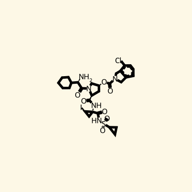 N[C@H](C(=O)N1C[C@H](OC(=O)N2Cc3cccc(Cl)c3C2)C[C@H]1C(=O)N[C@]1(C(=O)NS(=O)(=O)C2CC2)C[C@H]1I)C1CCCCC1